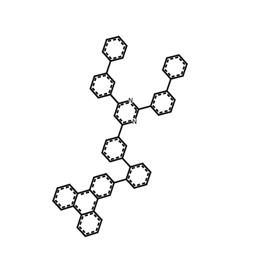 c1ccc(-c2cccc(-c3cc(-c4cccc(-c5ccccc5-c5ccc6c7ccccc7c7ccccc7c6c5)c4)nc(-c4cccc(-c5ccccc5)c4)n3)c2)cc1